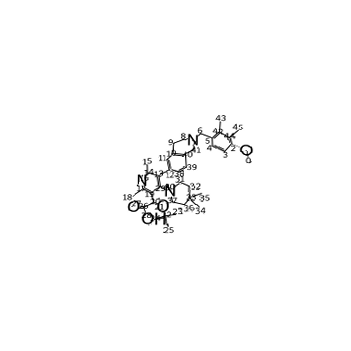 COc1ccc(CN2CCc3cc(-c4c(C)nc(C)c(C(OC(C)(C)C)C(=O)O)c4N4CCC(C)(C)CC4)ccc3C2)c(C)c1C